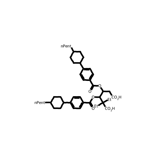 CCCCCC1CCC(c2ccc(C(=O)OC(CC(=O)O)C(OC(=O)c3ccc(C4CCC(CCCCC)CC4)cc3)C(CC)(CC)C(=O)O)cc2)CC1